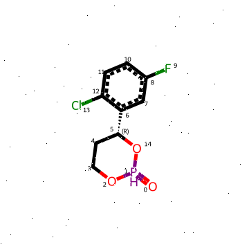 O=[PH]1OCC[C@H](c2cc(F)ccc2Cl)O1